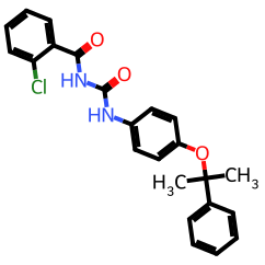 CC(C)(Oc1ccc(NC(=O)NC(=O)c2ccccc2Cl)cc1)c1ccccc1